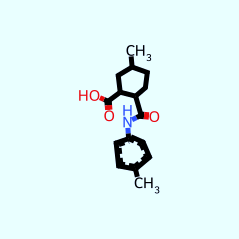 Cc1ccc(NC(=O)C2CCC(C)CC2C(=O)O)cc1